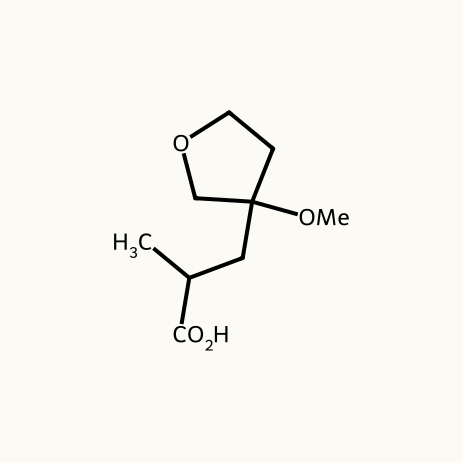 COC1(CC(C)C(=O)O)CCOC1